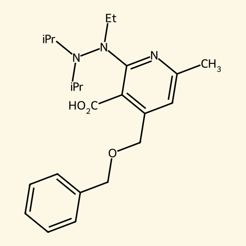 CCN(c1nc(C)cc(COCc2ccccc2)c1C(=O)O)N(C(C)C)C(C)C